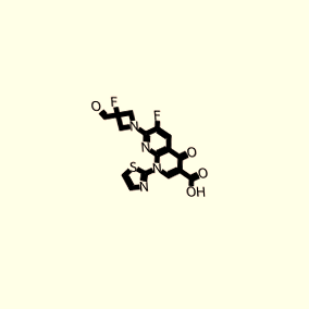 O=CC1(F)CN(c2nc3c(cc2F)c(=O)c(C(=O)O)cn3-c2nccs2)C1